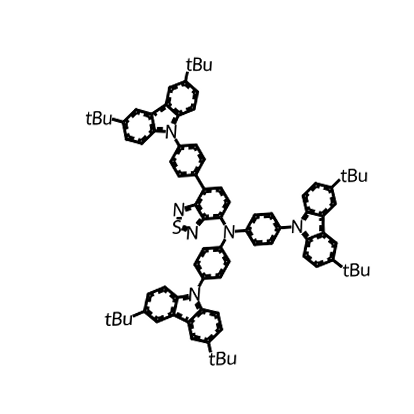 CC(C)(C)c1ccc2c(c1)c1cc(C(C)(C)C)ccc1n2-c1ccc(-c2ccc(N(c3ccc(-n4c5ccc(C(C)(C)C)cc5c5cc(C(C)(C)C)ccc54)cc3)c3ccc(-n4c5ccc(C(C)(C)C)cc5c5cc(C(C)(C)C)ccc54)cc3)c3nsnc23)cc1